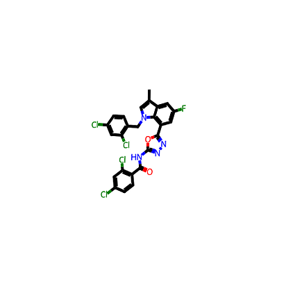 Cc1cn(Cc2ccc(Cl)cc2Cl)c2c(-c3nnc(NC(=O)c4ccc(Cl)cc4Cl)o3)cc(F)cc12